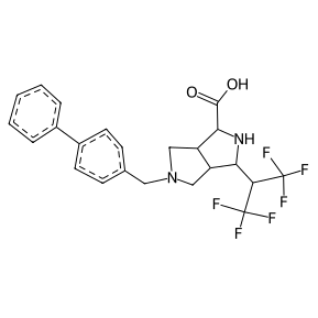 O=C(O)C1NC(C(C(F)(F)F)C(F)(F)F)C2CN(Cc3ccc(-c4ccccc4)cc3)CC12